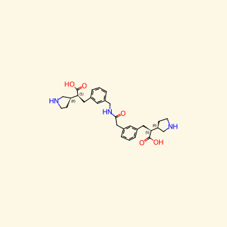 O=C(Cc1cccc(C[C@H](C(=O)O)[C@H]2CCNC2)c1)NCc1cccc(C[C@H](C(=O)O)[C@H]2CCNC2)c1